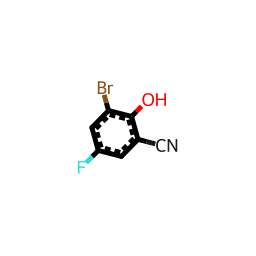 N#Cc1cc(F)cc(Br)c1O